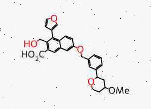 COC1CCOC(c2cccc(COc3ccc4c(-c5ccoc5)c(CO)c(C(=O)O)cc4c3)c2)C1